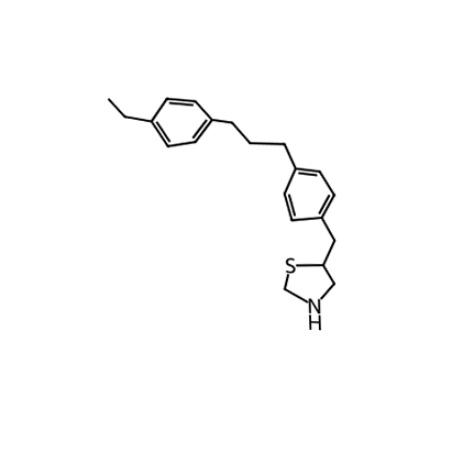 CCc1ccc(CCCc2ccc(CC3CNCS3)cc2)cc1